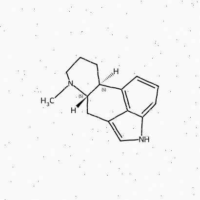 CN1CCC[C@H]2c3cccc4[nH]cc(c34)C[C@@H]21